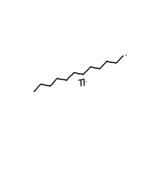 [CH2]CCCCCCCCCCC.[Tl]